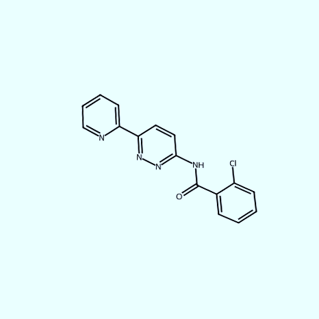 O=C(Nc1ccc(-c2ccccn2)nn1)c1ccccc1Cl